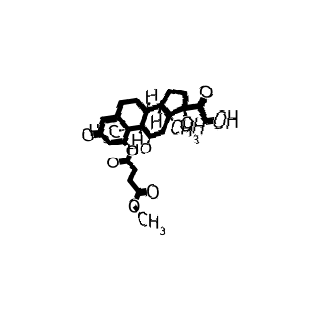 COC(=O)CCC(=O)OC1=CC(=O)C=C2CC[C@@H]3[C@H]([C@@H](O)C[C@@]4(C)[C@H]3CC[C@]4(O)C(=O)CO)[C@]21C